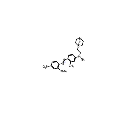 CCN(CC[N+]12CCN(CC1)CC2)c1ccc(/N=N/c2ccc([N+](=O)[O-])cc2OC)c(C)c1